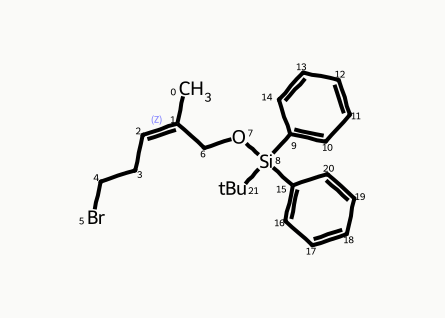 C/C(=C/CCBr)CO[Si](c1ccccc1)(c1ccccc1)C(C)(C)C